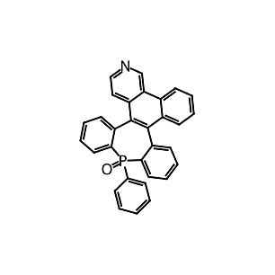 O=P1(c2ccccc2)c2ccccc2-c2c(c3ccncc3c3ccccc23)-c2ccccc21